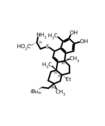 CC[C@@H](C)CC[C@]1(C)CC[C@]2(C)C3=CC(SC[C@@H](N)C(=O)O)c4c(cc(O)c(O)c4C)[C@]3(C)CC[C@@]2(CC)C1